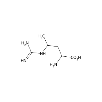 CC(CC(N)C(=O)O)NC(=N)N